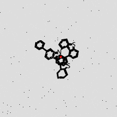 C1=CCC2C(=C1)Sc1c(-c3cccc4sc5cccc(-n6c7ccccc7c7ccc(-c8ccccc8)cc76)c5c34)cccc12